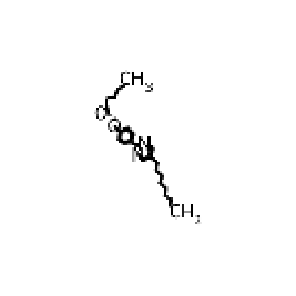 CCCCCCCCCc1cnc(-c2ccc(OC[C@@H]3O[C@H]3CCCCC)cc2)nc1